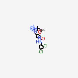 CC(C)CC1(C)NC(=N)N(CC2CCN(C(=O)NCc3ccc(Cl)cc3Cl)CC2)C1=O